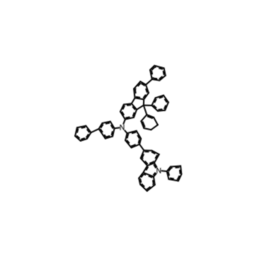 C1=CC(C2(c3ccccc3)c3cc(-c4ccccc4)ccc3-c3ccc(N(c4ccc(-c5ccccc5)cc4)c4ccc(-c5ccc6c(c5)c5ccccc5n6-c5ccccc5)cc4)cc32)=CCC1